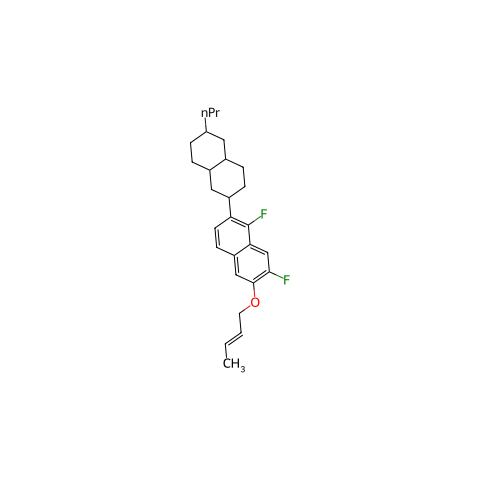 CC=CCOc1cc2ccc(C3CCC4CC(CCC)CCC4C3)c(F)c2cc1F